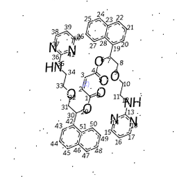 O=C(/C=C\C(=O)OC(COCCNc1ncccn1)c1cccc2ccccc12)OC(COCCNc1ncccn1)c1cccc2ccccc12